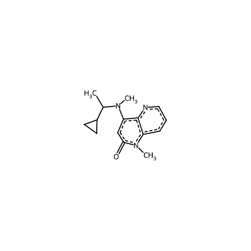 CC(C1CC1)N(C)c1cc(=O)n(C)c2cccnc12